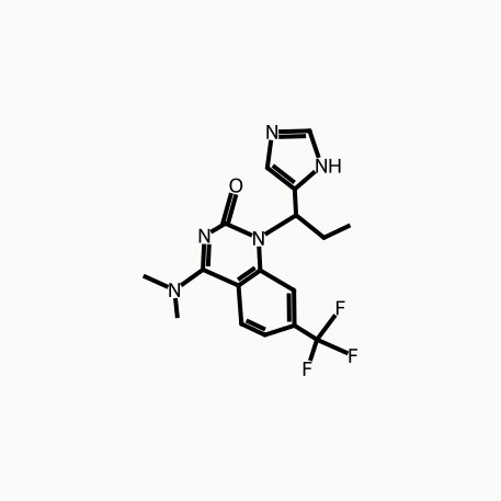 CCC(c1cnc[nH]1)n1c(=O)nc(N(C)C)c2ccc(C(F)(F)F)cc21